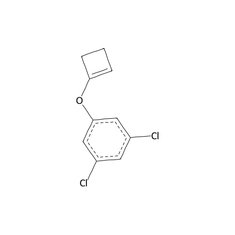 Clc1cc(Cl)cc(OC2=CCC2)c1